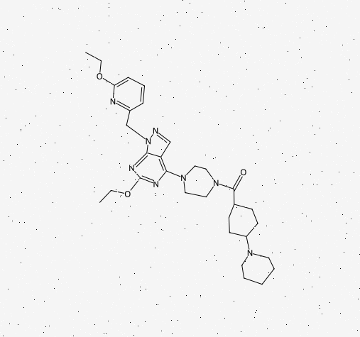 CCOc1cccc(Cn2ncc3c(N4CCN(C(=O)C5CCC(N6CCCCC6)CC5)CC4)nc(OCC)nc32)n1